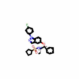 CC[C@H](NS(=O)(=O)C1CCCC1)[C@H](Oc1ccc2c(cnn2-c2ccc(F)cc2)c1)c1ccccc1